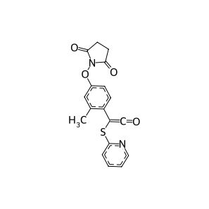 Cc1cc(ON2C(=O)CCC2=O)ccc1C(=C=O)Sc1ccccn1